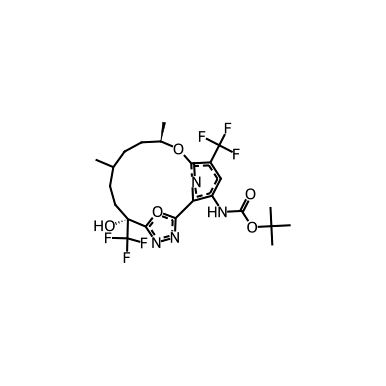 CC1CC[C@@H](C)Oc2nc(c(NC(=O)OC(C)(C)C)cc2C(F)(F)F)-c2nnc(o2)[C@@](O)(C(F)(F)F)CC1